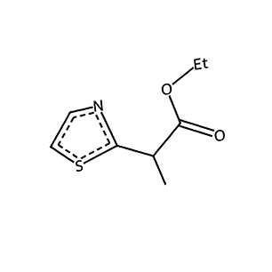 CCOC(=O)C(C)c1nccs1